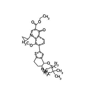 CCOC(=O)c1cn(C2CC2)c2c(OC)c(-c3cc4c(s3)CCC(C)C4O[Si](C)(C)C(C)(C)C)ccc2c1=O